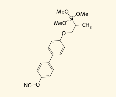 CO[Si](OC)(OC)C(C)COc1ccc(-c2ccc(OC#N)cc2)cc1